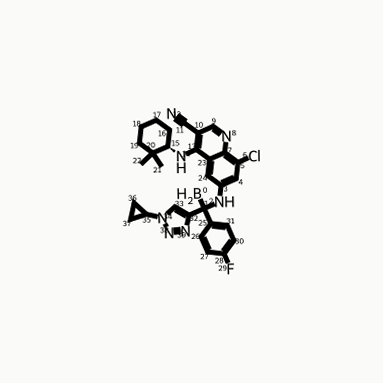 BC(Nc1cc(Cl)c2ncc(C#N)c(N[C@H]3CCCCC3(C)C)c2c1)(c1ccc(F)cc1)c1cn(C2CC2)nn1